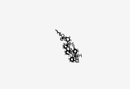 CCCCOC(=O)N1CCC[C@H](Nc2nccc(-c3cccnc3Oc3cc(NS(=O)(=O)c4ccccc4Cl)ccc3C)n2)C1